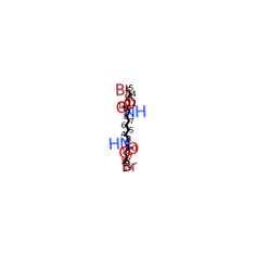 O=C(NCCCCCCNC(=O)OCCBr)OCCBr